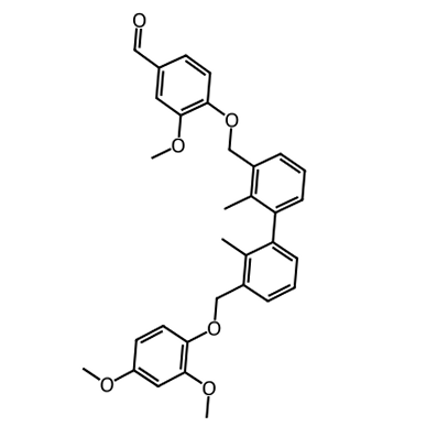 COc1ccc(OCc2cccc(-c3cccc(COc4ccc(C=O)cc4OC)c3C)c2C)c(OC)c1